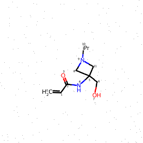 C=CC(=O)NC1(CO)CN(C(C)C)C1